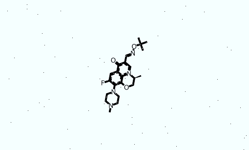 C[C@H]1COc2c(N3CCN(C)CC3)c(F)cc3c(=O)c(/C=N/OC(C)(C)C)cn1c23